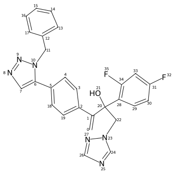 C=C(c1ccc(-c2cnnn2Cc2ccccc2)cc1)C(O)(Cn1cncn1)c1ccc(F)cc1F